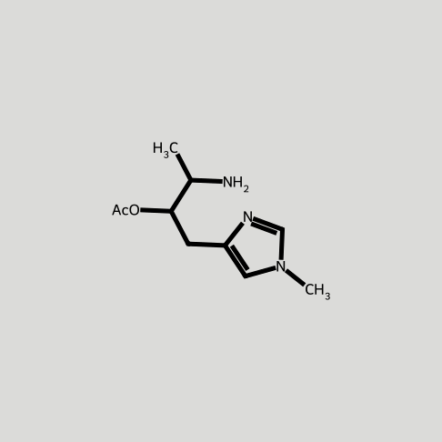 CC(=O)OC(Cc1cn(C)cn1)C(C)N